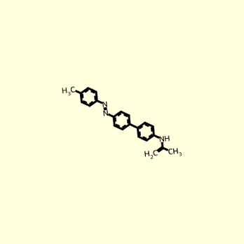 C=C(C)Nc1ccc(-c2ccc(N=Nc3ccc(C)cc3)cc2)cc1